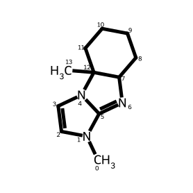 CN1C=CN2C1=NC1CCCCC12C